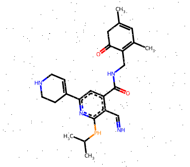 CC1=CC(C)=C(CNC(=O)c2cc(C3=CCNCC3)nc(PC(C)C)c2C=N)C(=O)C1